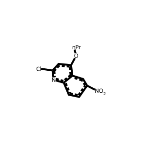 CCCOc1cc(Cl)nc2ccc([N+](=O)[O-])cc12